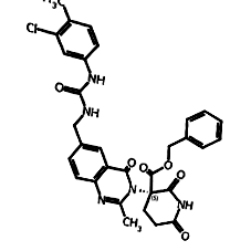 Cc1ccc(NC(=O)NCc2ccc3nc(C)n([C@@]4(C(=O)OCc5ccccc5)CCC(=O)NC4=O)c(=O)c3c2)cc1Cl